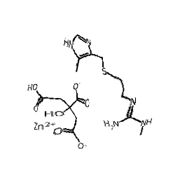 CN/C(N)=N/CCSCc1nc[nH]c1C.O=C([O-])CC(O)(CC(=O)O)C(=O)[O-].[Zn+2]